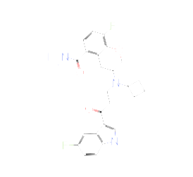 NC(=O)c1ccc(F)c2c1CC(N(CCC(=O)c1c[nH]c3ccc(F)cc13)C1CCC1)CO2